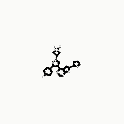 O=S1(=O)CC(n2cc(-c3ncnc4oc(-c5ccns5)cc34)c(-c3ccc(F)cc3)n2)C1